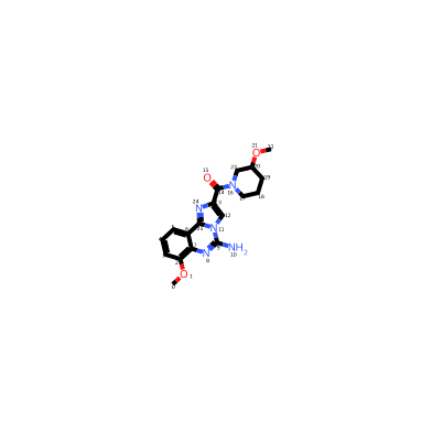 COc1cccc2c1nc(N)n1cc(C(=O)N3CCCC(OC)C3)nc21